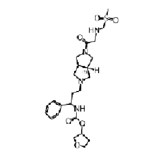 CS(=O)(=O)CNCC(=O)N1CC2CN(CCC(NC(=O)OC3CCOC3)c3ccccc3)C[C@H]2C1